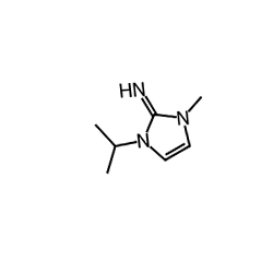 CC(C)n1ccn(C)c1=N